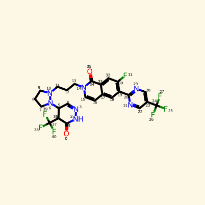 O=C1NN=CC(N2CCCN2CCCn2ccc3cc(-c4ncc(C(F)(F)F)cn4)c(F)cc3c2=O)C1C(F)(F)F